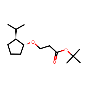 CC(C)[C@@H]1CCC[C@H]1OCCC(=O)OC(C)(C)C